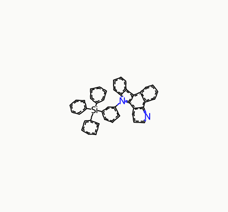 c1ccc([Si](c2ccccc2)(c2ccccc2)c2cccc(-n3c4ccccc4c4c5ccccc5c5ncccc5c43)c2)cc1